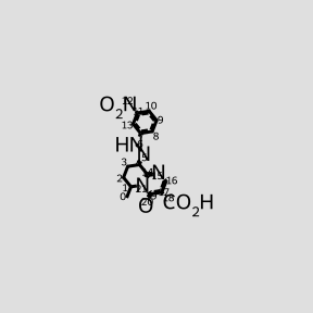 CC1CC/C(=N\Nc2cccc([N+](=O)[O-])c2)c2ncc(C(=O)O)c(=O)n21